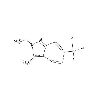 Cc1c2ccc(C(F)(F)F)cc2nn1C